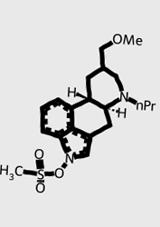 CCCN1CC(COC)C[C@H]2c3cccc4c3c(cn4OS(C)(=O)=O)C[C@@H]21